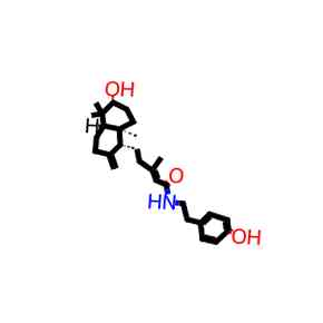 C=C1CC[C@@H]2C(C)(C)[C@H](O)CC[C@@]2(C)[C@@H]1CC/C(C)=C/C(=O)NCCc1ccc(O)cc1